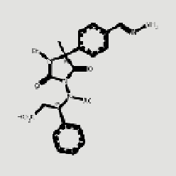 CCN1C(=O)N(N(C(C)=O)[C@H](CC(=O)O)c2ccccc2)C(=O)[C@@]1(C)c1ccc(C=NN)cc1